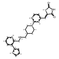 O=C1NC(=O)/C(=C/c2ccnc(N3CCC(CNCc4ncccc4-c4cccs4)CC3)n2)S1